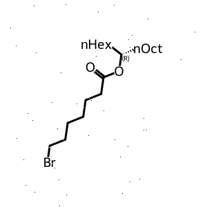 CCCCCCCC[C@@H](CCCCCC)OC(=O)CCCCCCBr